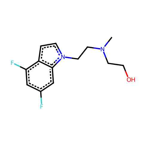 CN(CCO)CCn1ccc2c(F)cc(F)cc21